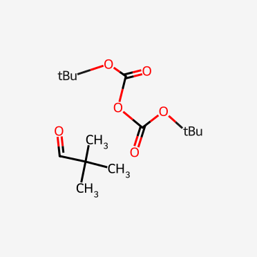 CC(C)(C)C=O.CC(C)(C)OC(=O)OC(=O)OC(C)(C)C